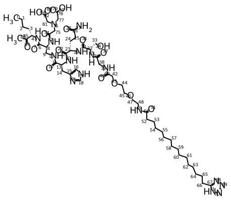 CCCC[C@H](NC(=O)[C@H](CNC(=O)[C@H](Cc1c[nH]cn1)NC(=O)[C@H](CCC(N)=O)NC(=O)[C@H](CO)NC(=O)CNC(=O)COCCOCCNC(=O)CCCCCCCCCCCCCCCc1nnn[nH]1)NC(=O)CN(CC(=O)O)CC(=O)O)C(C)=O